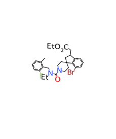 CCOC(=O)CC1CC2(CCN(C(=O)N(CC)Cc3c(C)cccc3F)CC2)c2c(Br)cccc21